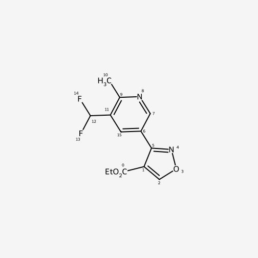 CCOC(=O)c1conc1-c1cnc(C)c(C(F)F)c1